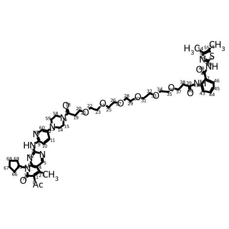 CC(=O)c1c(C)c2cnc(Nc3ccc(N4CCN(C(=O)CCOCCOCCOCCOCCOCCOCCC(=O)Nc5ccccc5C(=O)Nc5nc(C)c(C)s5)CC4)cn3)nc2n(C2CCCC2)c1=O